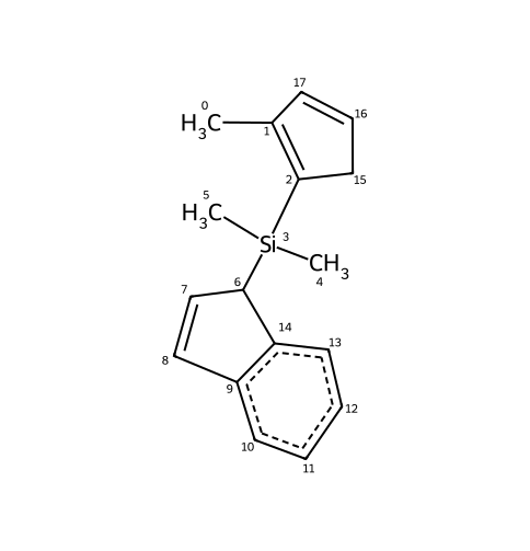 CC1=C([Si](C)(C)C2C=Cc3ccccc32)CC=C1